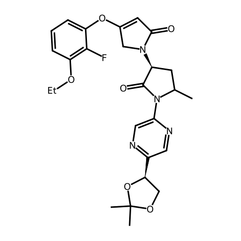 CCOc1cccc(OC2=CC(=O)N([C@H]3CC(C)N(c4cnc([C@H]5COC(C)(C)O5)cn4)C3=O)C2)c1F